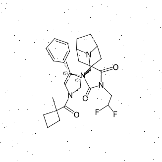 CC(C)N1C(=O)N(CC(F)F)C(=O)C12CC1CCC(C2)N1C[C@H]1CN(C(=O)C2(C)CCC2)C[C@@H]1c1ccccc1